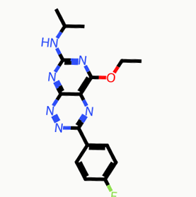 CCOc1nc(NC(C)C)nc2nnc(-c3ccc(F)cc3)nc12